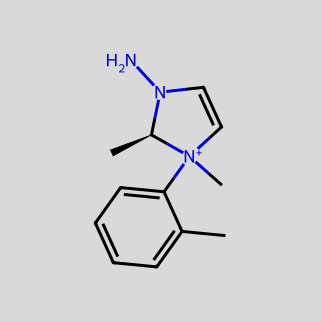 Cc1ccccc1[N+]1(C)C=CN(N)[C@@H]1C